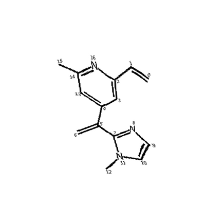 C=Cc1cc(C(=C)c2nccn2C)cc(C)n1